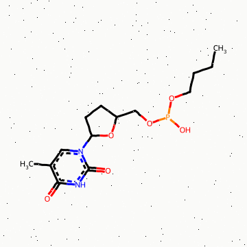 CCCCOP(O)OCC1CCC(n2cc(C)c(=O)[nH]c2=O)O1